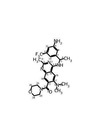 Cc1nc(NC(C)c2cc(N)cc(C(F)(F)F)c2)c2cc(N(C)C)c(C(=O)N3CCOCC3)cc2n1